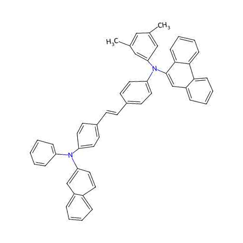 Cc1cc(C)cc(N(c2ccc(/C=C/c3ccc(N(c4ccccc4)c4ccc5ccccc5c4)cc3)cc2)c2cc3ccccc3c3ccccc23)c1